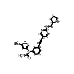 CC(C)(C)c1cc(N(C(N)=O)c2cccc(C#Cc3cnc(NCC4CCCN4)nc3)c2)no1